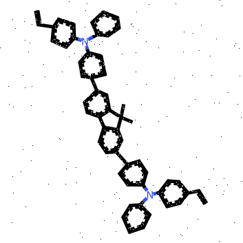 C=Cc1ccc(N(c2ccccc2)c2ccc(-c3ccc4c(c3)C(C)(C)c3cc(-c5ccc(N(c6ccccc6)c6ccc(C=C)cc6)cc5)ccc3-4)cc2)cc1